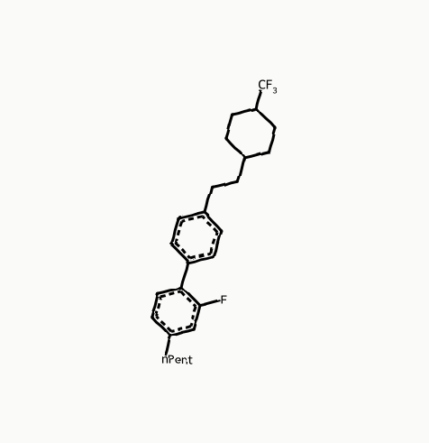 CCCCCc1ccc(-c2ccc(CCC3CCC(C(F)(F)F)CC3)cc2)c(F)c1